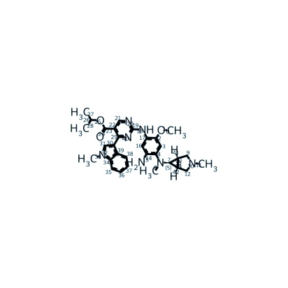 COc1cc(N(C)[C@H]2[C@@H]3CN(C)C[C@@H]32)c(N)cc1Nc1ncc(C(=O)OC(C)C)c(-c2cn(C)c3ccccc23)n1